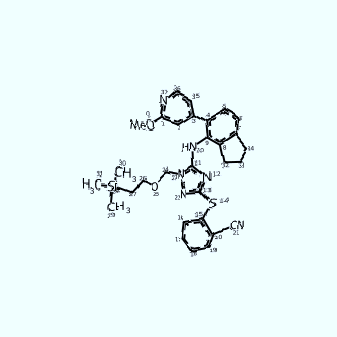 COc1cc(-c2ccc3c(c2Nc2nc(Sc4ccccc4C#N)nn2COCC[Si](C)(C)C)CCC3)ccn1